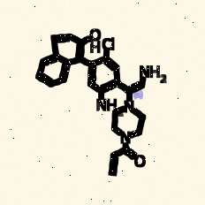 C=CC(=O)N1CCN(/C(=C/N)c2cc(Cl)c(-c3c(O)ccc4ccccc34)cc2N)CC1